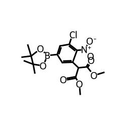 COC(=O)C(C(=O)OC)c1cc(B2OC(C)(C)C(C)(C)O2)cc(Cl)c1[N+](=O)[O-]